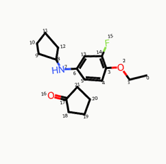 CCOc1ccc(NC2CCCC2)cc1F.O=C1CCCC1